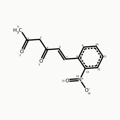 CC(=O)CC(=O)C=Cc1ccccc1[N+](=O)[O-]